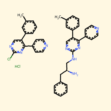 Cc1cccc(-c2cnc(Cl)nc2-c2ccncc2)c1.Cc1cccc(-c2cnc(NC[C@@H](N)Cc3ccccc3)nc2-c2ccncc2)c1.Cl